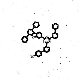 N#Cc1ccc(-c2cccc(-c3nc(-c4cccc(-c5ccccc5)c4)nc(-c4ccc5c(c4)oc4c(-c6ccccc6)ccc(-c6ccccc6)c45)n3)c2)cc1